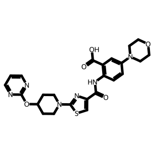 O=C(Nc1ccc(N2CCOCC2)cc1C(=O)O)c1csc(N2CCC(Oc3ncccn3)CC2)n1